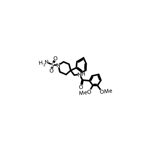 COc1cccc(C(=O)NCC2(c3ccccc3)CCN(S(N)(=O)=O)CC2)c1OC